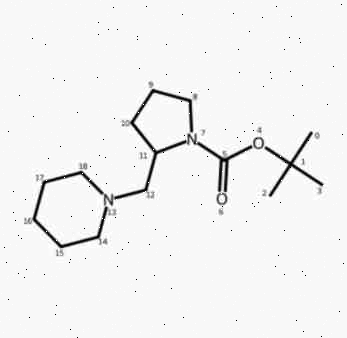 CC(C)(C)OC(=O)N1CCCC1CN1CCCCC1